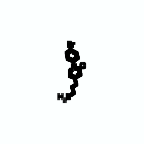 BCCCc1ccn(-c2ccc(Br)cc2)c(=O)c1